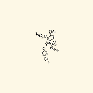 CC(=O)Oc1ccc(NCCOc2ccc(C(F)(F)F)cc2)cc1C(=O)O.COC